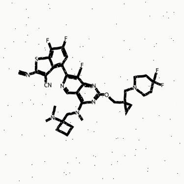 C=Nc1sc2c(F)c(F)cc(-c3ncc4c(N(C)CC5(N(C)C)CCC5)nc(OCC5(CN6CCC(F)(F)CC6)CC5)nc4c3F)c2c1C#N